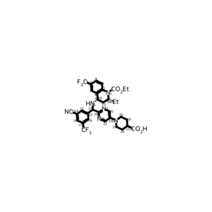 CCOC(=O)N1c2ccc(C(F)(F)F)cc2[C@@H](NC(c2cc(C#N)cc(C(F)(F)F)c2)c2ncc(N3CCC(C(=O)O)CC3)cn2)C[C@H]1CC